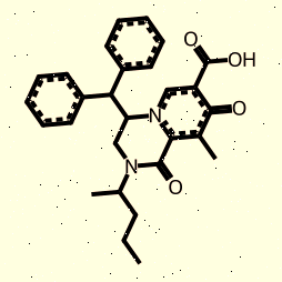 CCCC(C)N1CC(C(c2ccccc2)c2ccccc2)n2cc(C(=O)O)c(=O)c(C)c2C1=O